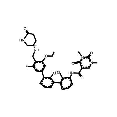 CCOc1cc(-c2cccc(-c3cccc(NC(=O)c4cn(C)c(=O)n(C)c4=O)c3Cl)c2Cl)cc(F)c1CN[C@H]1CCC(=O)NC1